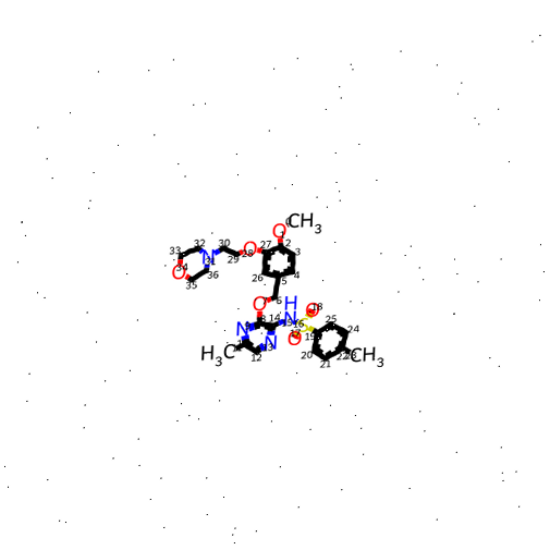 COc1ccc(COc2nc(C)cnc2NS(=O)(=O)c2ccc(C)cc2)cc1OCCN1CCOCC1